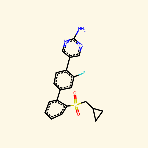 Nc1ncc(-c2ccc(-c3ccccc3S(=O)(=O)CC3CC3)cc2F)cn1